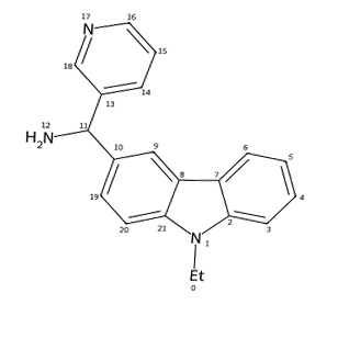 CCn1c2ccccc2c2cc(C(N)c3cccnc3)ccc21